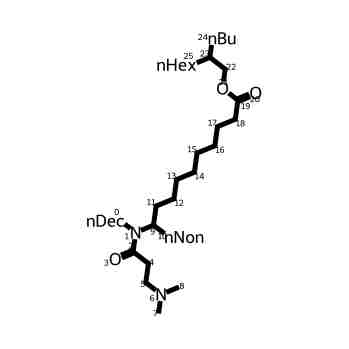 CCCCCCCCCCN(C(=O)CCN(C)C)C(CCCCCCCCC)CCCCCCCCC(=O)OCC(CCCC)CCCCCC